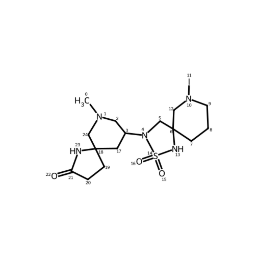 CN1CC(N2CC3(CCCN(I)C3)NS2(=O)=O)CC2(CCC(=O)N2)C1